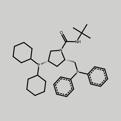 CC(C)(C)NC(=O)N1C[C@@H](P(C2CCCCC2)C2CCCCC2)C[C@H]1CP(c1ccccc1)c1ccccc1